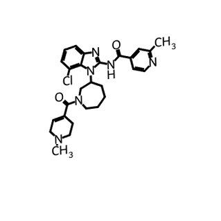 Cc1cc(C(=O)Nc2nc3cccc(Cl)c3n2C2CCCCN(C(=O)C3=CCN(C)CC3)C2)ccn1